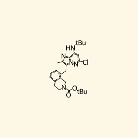 Cc1nc2c(NC(C)(C)C)cc(Cl)nn2c1Cc1cccc2c1CN(C(=O)OC(C)(C)C)CC2